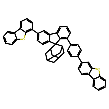 c1cc(-c2ccc(-c3ccc4c(c3)sc3ccccc34)cc2)c2c(c1)-c1cc(-c3cccc4c3sc3ccccc34)ccc1C21C2CC3CC(C2)CC1C3